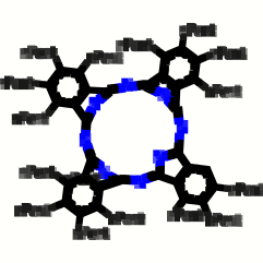 CCCCCc1cc2c(c(CCCCC)c1CCCCC)-c1nc-2nc2[nH]c(nc3nc(nc4c5c(CCCCC)c(CCCCC)c(CCCCC)c(CCCCC)c5c(n1)n4CCCCC)-c1c(CCCCC)c(CCCCC)c(CCCCC)c(CCCCC)c1-3)c1c(CCCCC)c(CCCCC)c(CCCCC)c(CCCCC)c21